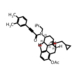 CC(=O)Oc1ccc2c3c1C[C@@H]1[C@@H]4CC[C@H](N(CC(C)C)C(=O)C#Cc5ccc(C)c(C)c5)[C@H](O2)[C@]34CCN1CC1CC1